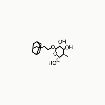 C[C@H]1C(CO)O[C@H](OCCC23CC4CC(CC(C4)C2)C3)[C@H](O)C1O